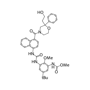 COC(=O)Nc1cc(C(C)(C)C)cc(NC(=O)Nc2ccc(C(=O)N3CCOC(CCO)(c4ccccc4)C3)c3ccccc23)c1OC